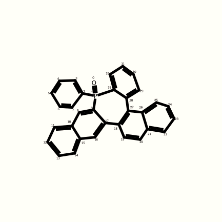 O=P1(c2ccccc2)c2cc3ccccc3cc2-c2ccc3ccccc3c2-c2ccccc21